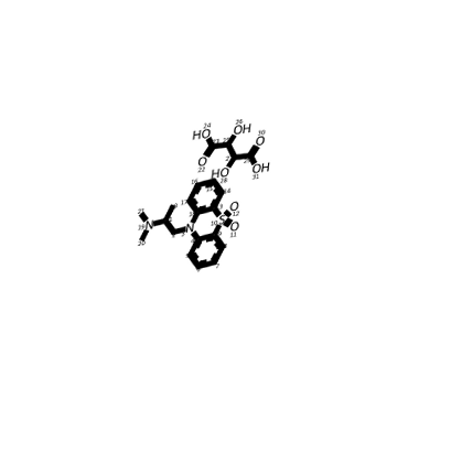 CC(CN1c2ccccc2S(=O)(=O)c2ccccc21)N(C)C.O=C(O)C(O)C(O)C(=O)O